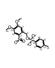 COc1cc(COS(=O)(=O)c2ccc(C)cc2)c([N+](=O)[O-])cc1OC